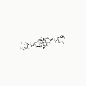 CCC(C)COC1CCC(C(C2CCC(OCC(C)CC)CC2)(C(F)(F)F)C(F)(F)F)CC1